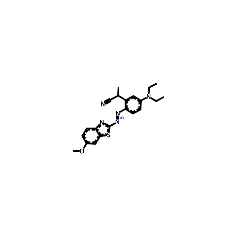 CCN(CC)c1ccc(/N=N/c2nc3ccc(OC)cc3s2)c(C(C)C#N)c1